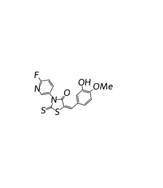 COc1ccc(C=C2SC(=S)N(c3ccc(F)nc3)C2=O)cc1O